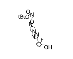 CN(CCON=C1CCN(c2ncc(-c3cccc(CO)c3F)cn2)CC1)C(=O)OC(C)(C)C